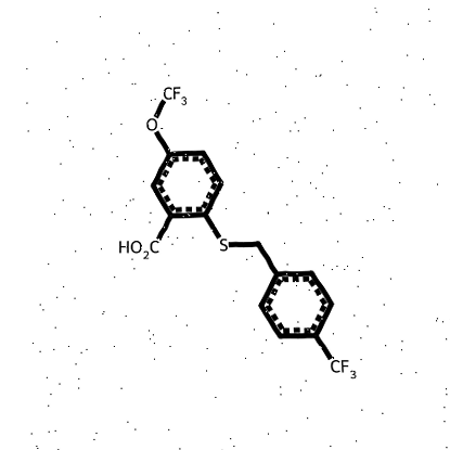 O=C(O)c1cc(OC(F)(F)F)ccc1SCc1ccc(C(F)(F)F)cc1